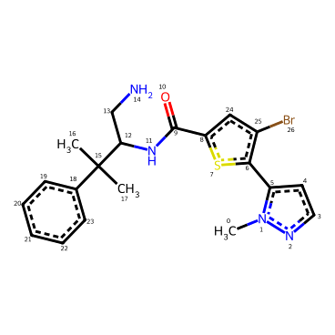 Cn1nccc1-c1sc(C(=O)NC(CN)C(C)(C)c2ccccc2)cc1Br